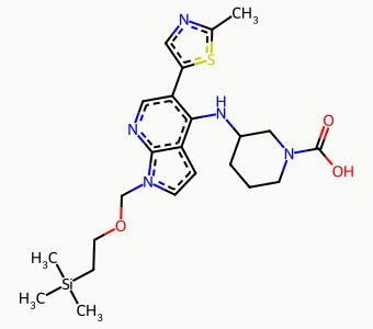 Cc1ncc(-c2cnc3c(ccn3COCC[Si](C)(C)C)c2NC2CCCN(C(=O)O)C2)s1